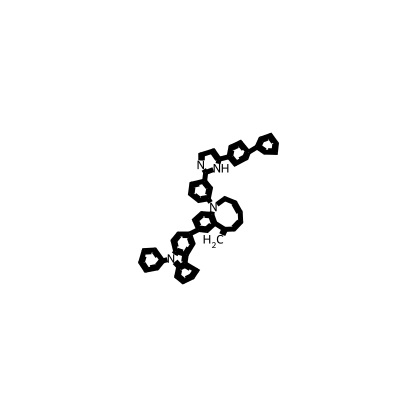 C=C1/C=C\C=C/CN(c2cccc(C3N=CC=C(c4ccc(-c5ccccc5)cc4)N3)c2)c2ccc(-c3ccc4c(c3)c3ccccc3n4-c3ccccc3)cc21